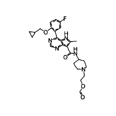 Cc1[nH]c2c(-c3cc(F)ccc3OCC3CC3)ncnc2c1C(=O)NC1CCN(CCOC=O)CC1